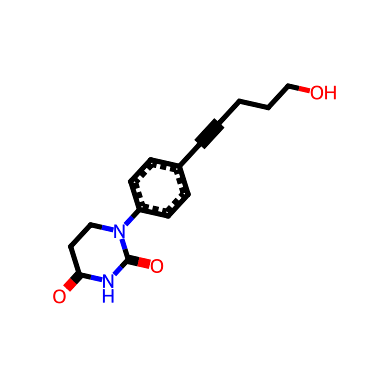 O=C1CCN(c2ccc(C#CCCCO)cc2)C(=O)N1